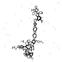 CCc1cc(Nc2ncc(-c3cnn(C)c3)c(Nc3ccccc3P(C)(C)=O)n2)c(OC)cc1N1CCC(N2CCN([C@H]3C[C@H](Oc4cc(F)cc5c4CN(C4CCC(=O)NC4=O)C5=O)C3)CC2)CC1